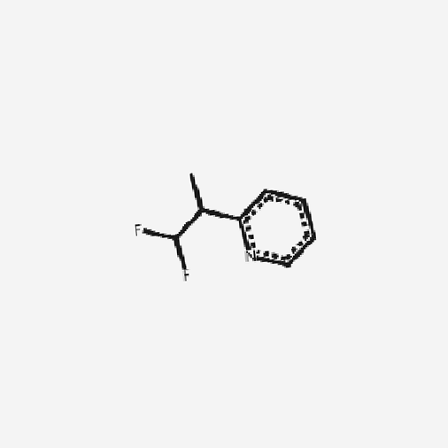 CC(c1ccccn1)C(F)F